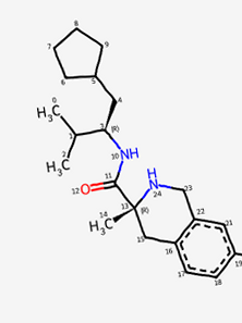 CC(C)[C@@H](CC1CCCC1)NC(=O)[C@@]1(C)Cc2ccc(O)cc2CN1